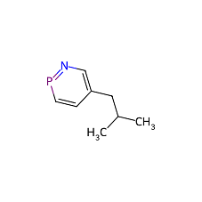 CC(C)Cc1ccpnc1